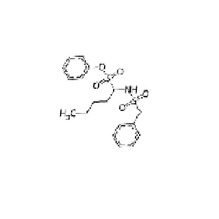 CCCCC(NS(=O)(=O)Cc1ccccc1)S(=O)(=O)Oc1ccccc1